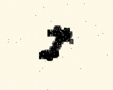 Nc1nnc(-c2ccccc2O)cc1N1C[C@H]2CC[C@@H](C1)N2c1nccc(N2CCN([C@H]3CC[C@H](c4ccc5c(c4)OCCN5[C@@H]4CCC(=O)NC4=O)CC3)CC2)n1